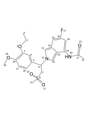 CCOc1cc(C(CS(C)(=O)=O)n2cc3cc(F)cc(NC(C)=O)c3c2)ccc1OC